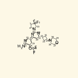 C[C@]1(F)CCN(c2nc(-c3cnc(N)c(OC(F)F)c3)cc([C@H]3C[C@@H](N4CCOCC4)C3)n2)C1